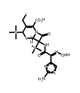 CON=C(C(=O)NC1([Si](C)(C)C)C(=O)N2C(C(=O)O)=C(CI)C([Si](C)(C)C)S[C@H]21)c1csc(N)n1